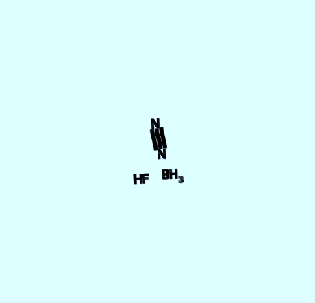 B.F.N#N